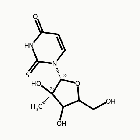 C[C@@]1(O)C(O)C(CO)O[C@H]1n1ccc(=O)[nH]c1=S